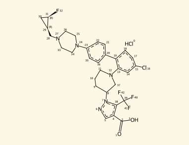 Cl.O=C(O)c1cnn(C2CCCN(c3cc(Cl)ccc3-c3ccc(N4CCN(C[C@H]5C[C@H]5F)CC4)cc3)C2)c1C(F)(F)F